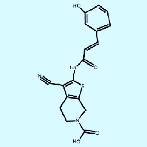 N#Cc1c(NC(=O)C=Cc2cccc(O)c2)sc2c1CCN(C(=O)O)C2